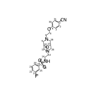 N#Cc1ccc(OCCN2CC3CN(CCNS(=O)(=O)c4cccc(F)c4)CC(C2)O3)cc1